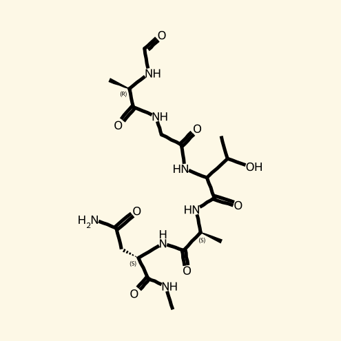 CNC(=O)[C@H](CC(N)=O)NC(=O)[C@H](C)NC(=O)C(NC(=O)CNC(=O)[C@@H](C)NC=O)C(C)O